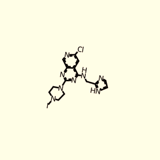 Clc1cc2c(NCc3ncc[nH]3)nc(N3CCN(I)CC3)nc2cn1